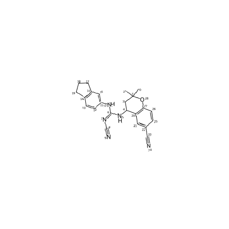 CC1(C)CC(N/C(=N\C#N)Nc2ccc3c(c2)CCC3)c2cc(C#N)ccc2O1